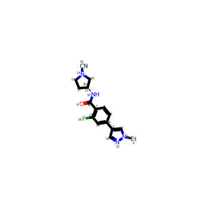 CCn1cc(-c2ccc(C(=O)N[C@@H]3CCN(C#N)C3)c(F)c2)cn1